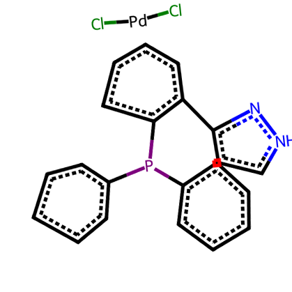 [Cl][Pd][Cl].c1ccc(P(c2ccccc2)c2ccccc2-c2cc[nH]n2)cc1